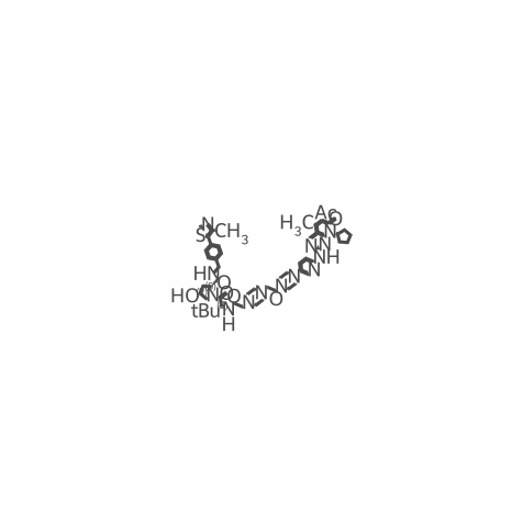 CC(=O)c1c(C)c2cnc(Nc3ccc(N4CCN(C(=O)CN5CCN(CC(=O)N[C@H](C(=O)N6C[C@H](O)C[C@H]6C(=O)NCc6ccc(-c7scnc7C)cc6)C(C)(C)C)CC5)CC4)cn3)nc2n(C2CCCC2)c1=O